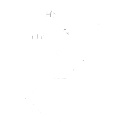 CCC[Si]1(S)CCCC(C)(c2ccccc2)O1